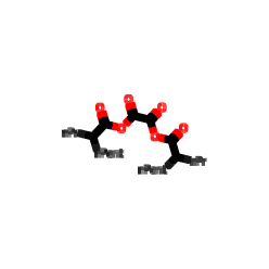 CCCCCC(CCC)C(=O)OC(=O)C(=O)OC(=O)C(CCC)CCCCC